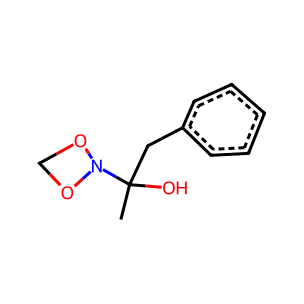 CC(O)(Cc1ccccc1)N1OCO1